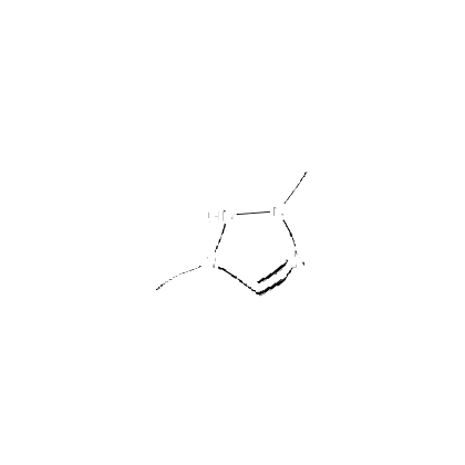 CN1C=NN(C)N1